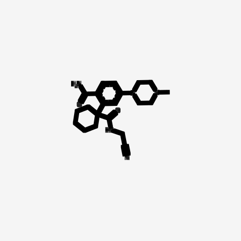 CN1CCN(c2ccc(C(N)=O)c(C3(C(=O)NCC#N)CCCCC3)c2)CC1